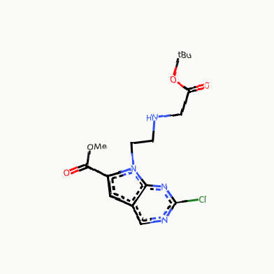 COC(=O)c1cc2cnc(Cl)nc2n1CCNCC(=O)OC(C)(C)C